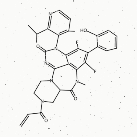 C=CC(=O)N1CCN2c3nc(=O)n(-c4c(C)ccnc4C(C)C)c4c(F)c(-c5ccccc5O)c(F)c(c34)N(C)C(=O)C2C1